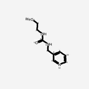 COCCNC(=O)NCc1cccnc1